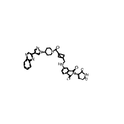 O=C1CCC(N2C(=O)c3ccc(NCC45CC(C(=O)N6CCC(n7cc(-c8cnc9ccccc9n8)cn7)CC6)(C4)C5)cc3C2=O)C(=O)N1